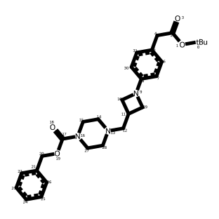 CC(C)(C)OC(=O)Cc1ccc(N2CC(CN3CCN(C(=O)OCc4ccccc4)CC3)C2)cc1